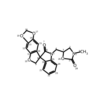 CN1CC(CN2C(=O)C3(COc4cc5c(cc43)OCO5)c3ccccc32)OC1=O